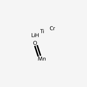 [Cr].[LiH].[O]=[Mn].[Ti]